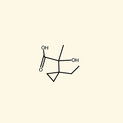 CCC1(C(C)(O)C(=O)O)CC1